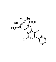 CC(C)(C)C1[C@@](Cc2nc(Cl)cc(-c3ccccn3)c2F)(C(=O)O)CCN(C(=O)O)[C@@]1(C)C(C)(C)C